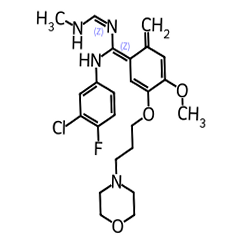 C=c1cc(OC)c(OCCCN2CCOCC2)c/c1=C(/N=C\NC)Nc1ccc(F)c(Cl)c1